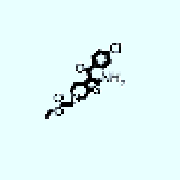 CCOC(=O)CN1CCc2c(sc(N)c2C(=O)c2ccc(Cl)cc2)C1